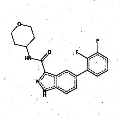 O=C(NC1CCOCC1)c1n[nH]c2ccc(-c3cccc(F)c3F)cc12